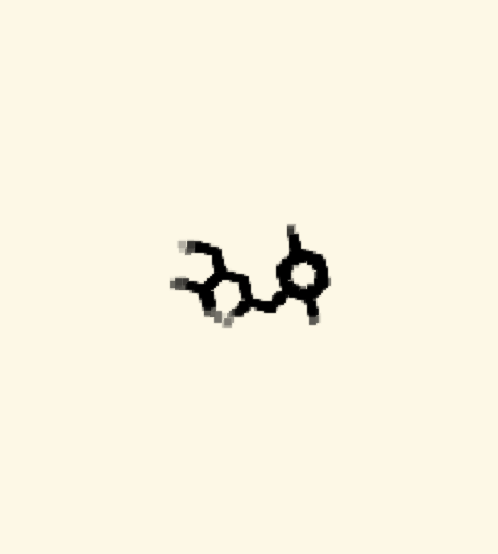 CC(Cc1cc(F)ccc1F)CC(CN)C(=O)O